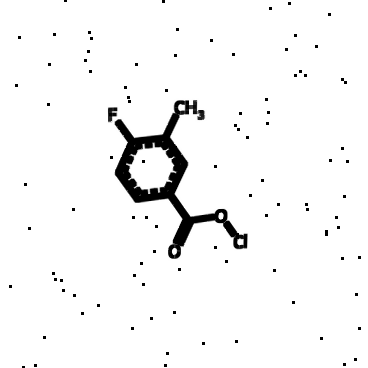 Cc1cc(C(=O)OCl)ccc1F